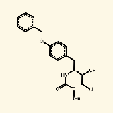 CC(C)(C)OC(=O)NC(Cc1ccc(OCc2ccccc2)cc1)C(O)CCl